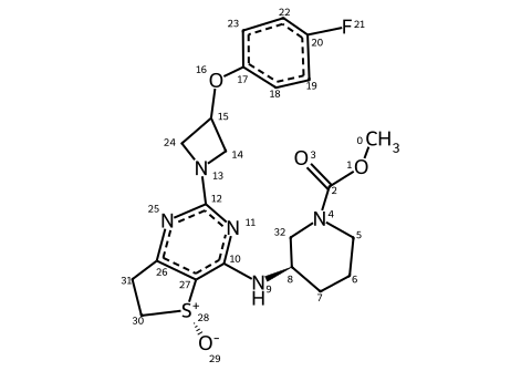 COC(=O)N1CCC[C@@H](Nc2nc(N3CC(Oc4ccc(F)cc4)C3)nc3c2[S@+]([O-])CC3)C1